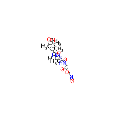 C=C/C(=C\C(=C/C)C(=O)NCC1CCC(OCCCN2CCOCC2)=C(C=O)C1)CNC(=O)C12CCCC1C1CCC3C(C)(CCC4C(C)(C)C(O)CCC43C)C1CC2